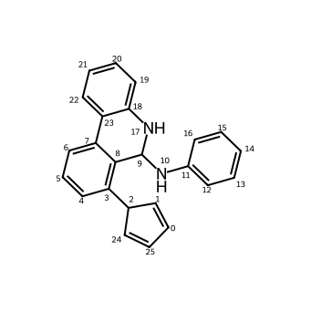 C1=CC(c2cccc3c2C(Nc2ccccc2)Nc2ccccc2-3)C=C1